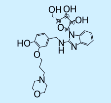 OC[C@H]1O[C@@H](n2c(NCc3ccc(O)c(OCCCN4CCOCC4)c3)nc3ccccc32)[C@H](O)[C@@H]1O